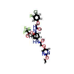 CCOc1ncc(OCC(=O)NC23CCC(NC(=O)COc4ccc(Cl)c(F)c4)(CC2)[C@@H](OC(=O)C(F)(F)F)C3)cn1